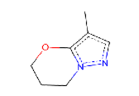 Cc1cnn2c1OCCC2